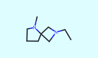 CCN1CC2(CCCN2C)C1